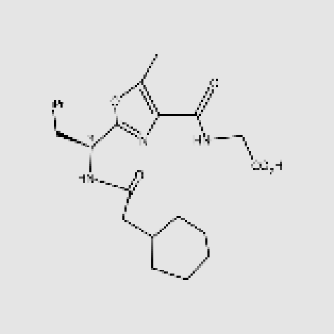 Cc1oc([C@H](CC(C)C)NC(=O)CC2CCCCC2)nc1C(=O)NCC(=O)O